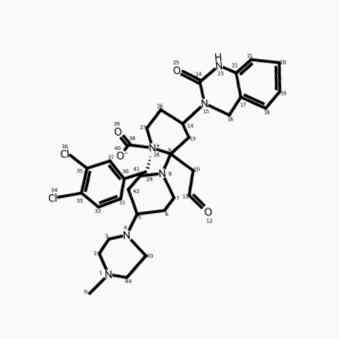 CN1CCN(C2CCN(C3(CC=O)CC(N4Cc5ccccc5NC4=O)CC[N@+]3(Cc3ccc(Cl)c(Cl)c3)C(=O)[O-])CC2)CC1